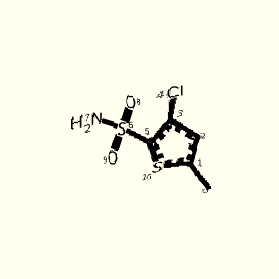 Cc1cc(Cl)c(S(N)(=O)=O)s1